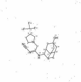 N#C/N=C(\CN1CC[C@H](C(F)(F)F)C1)NC1C2CC3CC1CC(O)(C3)C2